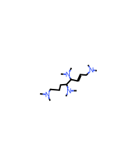 CN(C)CC=CC(C(CCCN(C)C)N(C)C)N(C)C